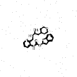 CC(CC1CCOCC1)NCc1ncccc1NC(=O)Oc1cc2ccccc2s1